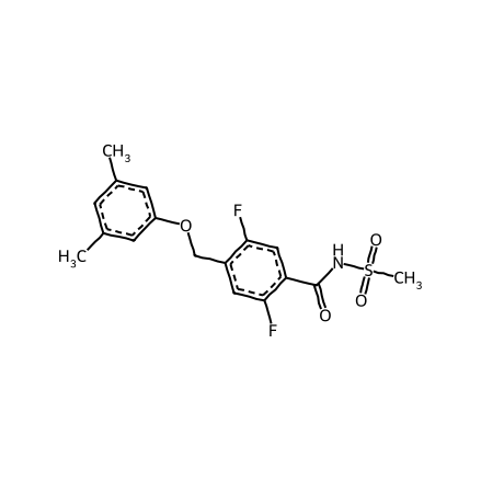 Cc1cc(C)cc(OCc2cc(F)c(C(=O)NS(C)(=O)=O)cc2F)c1